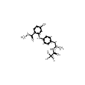 COC(=O)c1ccc(Cl)cc1Sc1ccc(C[C@@H](C)NC(=O)C(F)(F)F)cc1